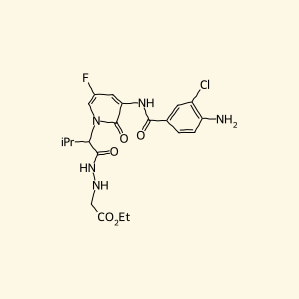 CCOC(=O)CNNC(=O)C(C(C)C)n1cc(F)cc(NC(=O)c2ccc(N)c(Cl)c2)c1=O